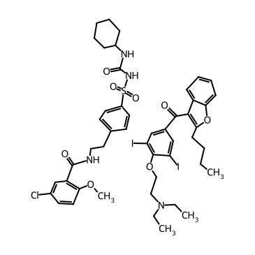 CCCCc1oc2ccccc2c1C(=O)c1cc(I)c(OCCN(CC)CC)c(I)c1.COc1ccc(Cl)cc1C(=O)NCCc1ccc(S(=O)(=O)NC(=O)NC2CCCCC2)cc1